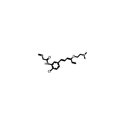 C=C/C(=C\C=C\c1ccc(Cl)c(NC(=O)CN=C)c1)OCCN(C)C